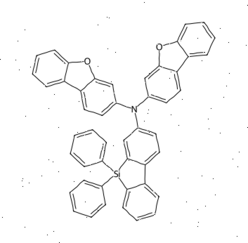 c1ccc([Si]2(c3ccccc3)c3ccccc3-c3ccc(N(c4ccc5c(c4)oc4ccccc45)c4ccc5c(c4)oc4ccccc45)cc32)cc1